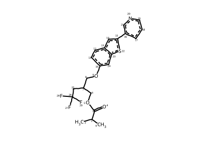 CC(C)C(=O)OCC(COc1ccc2cc(-c3cccnc3)sc2c1)CC(F)(F)F